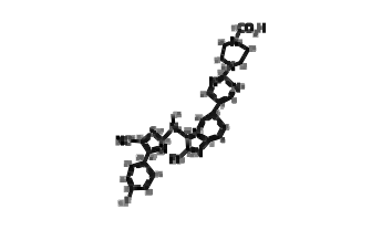 CCc1nc2ccc(-c3cnc(N4CCN(C(=O)O)CC4)nc3)cn2c1N(C)c1nc(-c2ccc(F)cc2)c(C#N)s1